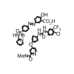 CNC(=O)c1cc(Oc2ccc(NC(=O)Nc3ccc(Cl)c(C(F)(F)F)c3)cc2)ccn1.O=C(O)c1cc(N=Nc2ccc(S(=O)(=O)Nc3ccccn3)cc2)ccc1O